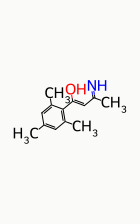 CC(=N)/C=C(\O)c1c(C)cc(C)cc1C